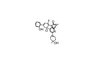 Cn1ccn(C2=C(F)C=C(c3ccccc3O)CC2(Cl)c2ccnc(N3CCC(C)(O)CC3)c2)c1=O